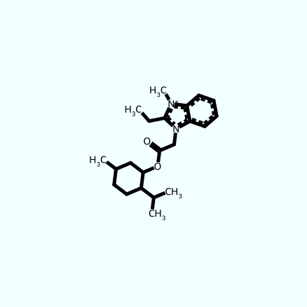 CCc1n(CC(=O)OC2CC(C)CCC2C(C)C)c2ccccc2[n+]1C